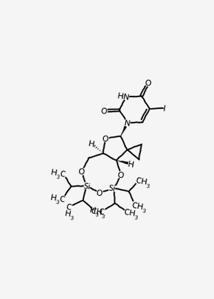 CC(C)[Si]1(C(C)C)OC[C@H]2O[C@@H](n3cc(I)c(=O)[nH]c3=O)C3(CC3)[C@@H]2O[Si](C(C)C)(C(C)C)O1